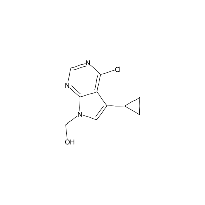 OCn1cc(C2CC2)c2c(Cl)ncnc21